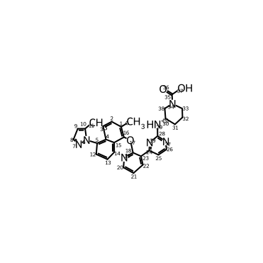 Cc1ccc2c(-n3nccc3C)cccc2c1Oc1ncccc1-c1ccnc(N[C@H]2CCCN(C(=O)O)C2)n1